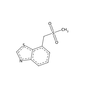 CS(=O)(=O)Cc1cccc2ncsc12